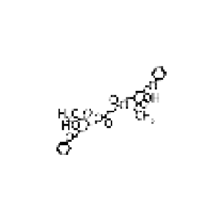 C=CC(=O)C(COC(=O)/C=C/C(=O)OCC(CC(O)COc1ccccc1)C(=O)C=C)CC(O)COc1ccccc1